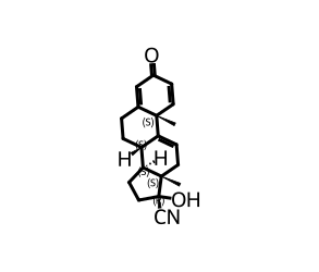 C[C@]12C=CC(=O)C=C1CC[C@@H]1C2=CC[C@@]2(C)[C@H]1CC[C@]2(O)C#N